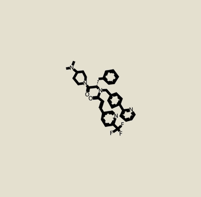 CN(C)C1CCN(C(=O)[C@H](Cc2ccccc2)N(Cc2ccc(-c3ccccn3)cc2)C(=O)/C=C/c2ccc(C(F)(F)F)nc2)CC1